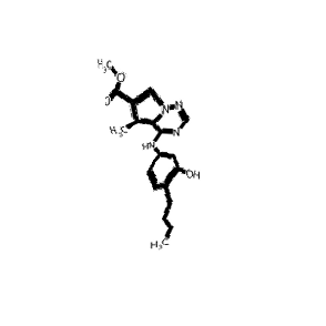 CCCCc1ccc(Nc2ncnn3cc(C(=O)OC)c(C)c23)cc1O